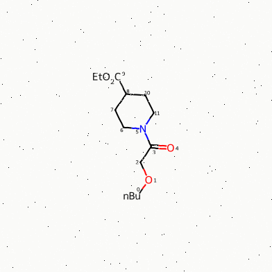 CCCCOCC(=O)N1CCC(C(=O)OCC)CC1